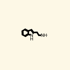 [NH]CCc1cc2ccccc2[nH]1